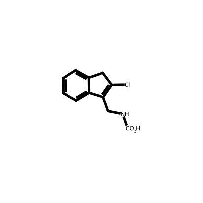 O=C(O)NCC1=C(Cl)Cc2ccccc21